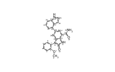 COc1ccccc1-n1c(=O)[nH]c2c(C(N)=O)nc(-c3cccc4[nH]ncc34)nc21